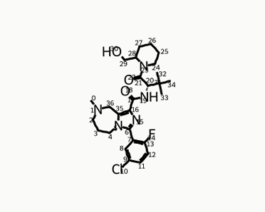 CN1CCCn2c(-c3cc(Cl)ccc3F)nc(C(=O)N[C@H](C(=O)N3CCCCC3CO)C(C)(C)C)c2C1